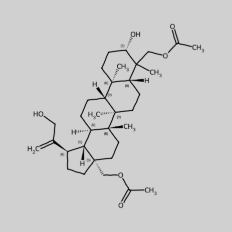 C=C(CO)[C@@H]1CC[C@]2(COC(C)=O)CC[C@]3(C)[C@H](CC[C@@H]4[C@@]5(C)CC[C@H](O)C(C)(COC(C)=O)[C@@H]5CC[C@]43C)[C@@H]12